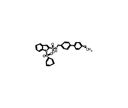 COc1ccc(-c2ccc(CNS(=O)(=O)c3cc4ccccc4n3S(=O)(=O)c3ccccc3)cc2)cc1